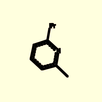 Cc1cccc(C(C)C)n1